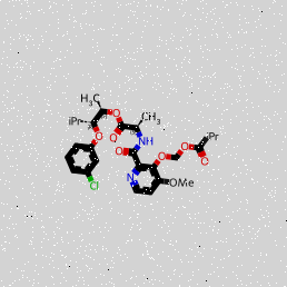 COc1ccnc(C(=O)N[C@@H](C)C(=O)O[C@@H](C)[C@H](Oc2cccc(Cl)c2)C(C)C)c1OCOC(=O)C(C)C